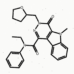 CCN(C(=O)c1nn(CC2CCCO2)c(=O)c2c1c1ccccc1n2C)c1ccccc1